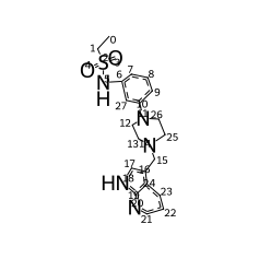 CCS(=O)(=O)Nc1cccc(N2CCN(Cc3c[nH]c4ncccc34)CC2)c1